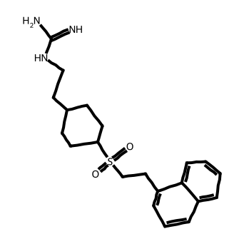 N=C(N)NCCC1CCC(S(=O)(=O)CCc2cccc3ccccc23)CC1